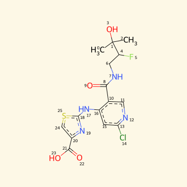 CC(C)(O)C(F)CNC(=O)c1cnc(Cl)cc1Nc1nc(C(=O)O)cs1